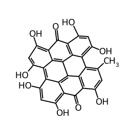 Cc1cc(O)c2c(=O)c3c(O)cc(O)c4c5c(O)cc(O)c6c(=O)c7c(O)cc(O)c8c1c2c(c34)c(c78)c65